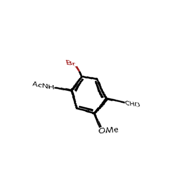 COc1cc(NC(C)=O)c(Br)cc1C=O